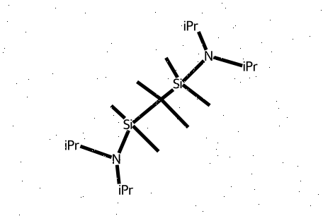 CC(C)N(C(C)C)[Si](C)(C)C(C)(C)[Si](C)(C)N(C(C)C)C(C)C